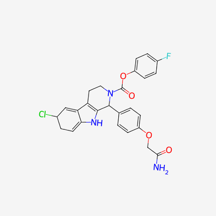 NC(=O)COc1ccc(C2c3[nH]c4c(c3CCN2C(=O)Oc2ccc(F)cc2)=CC(Cl)CC=4)cc1